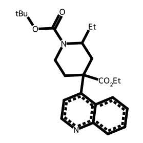 CCOC(=O)C1(c2ccnc3ccccc23)CCN(C(=O)OC(C)(C)C)C(CC)C1